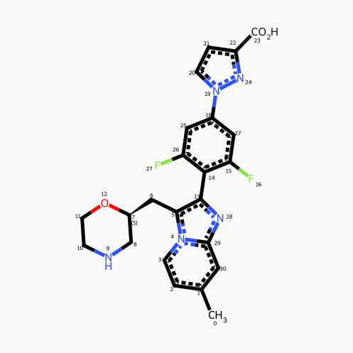 Cc1ccn2c(C[C@H]3CNCCO3)c(-c3c(F)cc(-n4ccc(C(=O)O)n4)cc3F)nc2c1